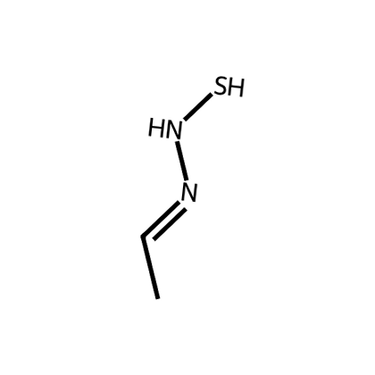 CC=NNS